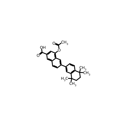 CC(=O)Oc1cc(C(=O)O)cc2ccc(-c3ccc4c(c3)C(C)(C)CCC4(C)C)cc12